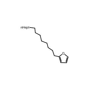 CCCCCCCCCCCCCCCc1ccco1